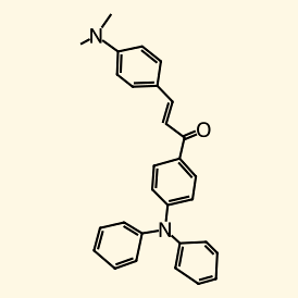 CN(C)c1ccc(C=CC(=O)c2ccc(N(c3ccccc3)c3ccccc3)cc2)cc1